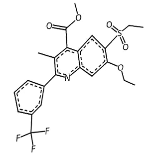 CCOc1cc2nc(-c3cccc(C(F)(F)F)c3)c(C)c(C(=O)OC)c2cc1S(=O)(=O)CC